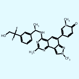 Cc1nc(N[C@H](C)c2cccc(C(F)(F)CO)c2)c2cc(-c3ccc(=O)n(C)c3)c3nn(C(F)(F)F)cc3c2n1